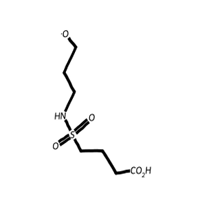 [O]CCCNS(=O)(=O)CCCC(=O)O